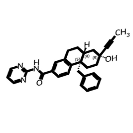 CC#C[C@@]1(O)CC[C@@]2(Cc3ccccc3)c3ccc(C(=O)Nc4ncccn4)cc3CC[C@@H]2C1